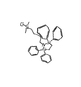 C[Si](C)(Cl)CCCCN1[Si](c2ccccc2)(c2ccccc2)CC[Si]1(c1ccccc1)c1ccccc1